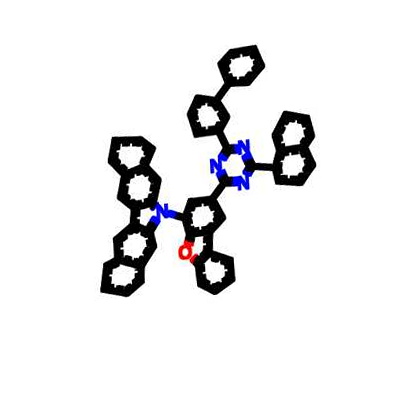 c1ccc(-c2cccc(-c3nc(-c4cc(-n5c6cc7ccccc7cc6c6cc7ccccc7cc65)c5oc6ccccc6c5c4)nc(-c4cccc5ccccc45)n3)c2)cc1